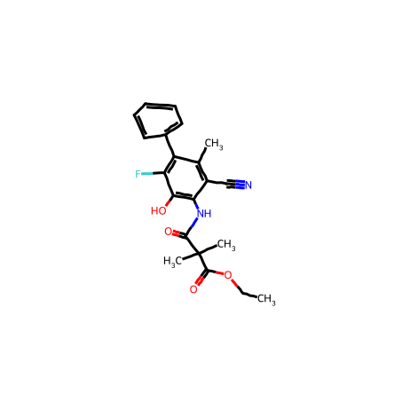 CCOC(=O)C(C)(C)C(=O)Nc1c(O)c(F)c(-c2ccccc2)c(C)c1C#N